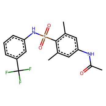 CC(=O)Nc1cc(C)c(S(=O)(=O)Nc2cccc(C(F)(F)F)c2)c(C)c1